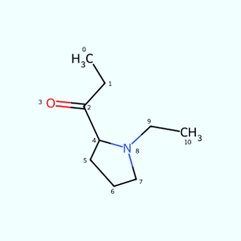 CCC(=O)C1CCCN1CC